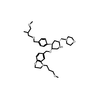 COCCCN1CCOc2ccc(CO[C@H]3CN[C@@H](CN4CCOCC4)C[C@@H]3c3ccc(COCC(C)COC)cc3)cc21